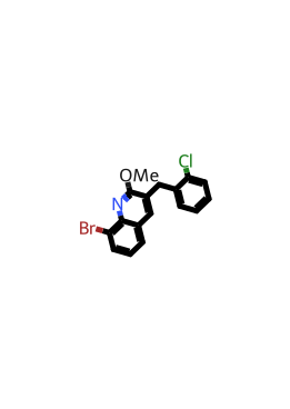 COc1nc2c(Br)cccc2cc1Cc1ccccc1Cl